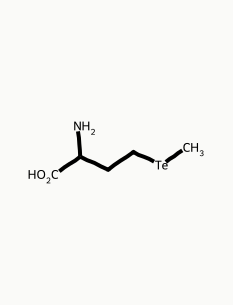 C[Te]CCC(N)C(=O)O